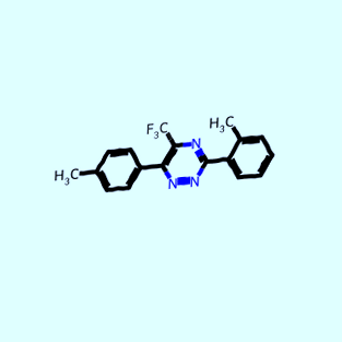 Cc1ccc(-c2nnc(-c3ccccc3C)nc2C(F)(F)F)cc1